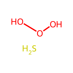 OOO.S